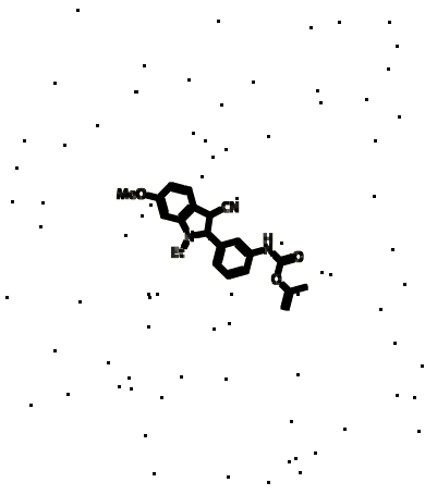 C=C(C)OC(=O)Nc1cccc(C2C(C#N)c3ccc(OC)cc3N2CC)c1